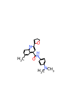 Cc1ccc2nc(C3=CCCO3)cc(C(=O)Nc3ccc(N(C)C)cc3)c2c1